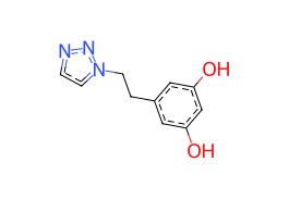 Oc1cc(O)cc(CCn2ccnn2)c1